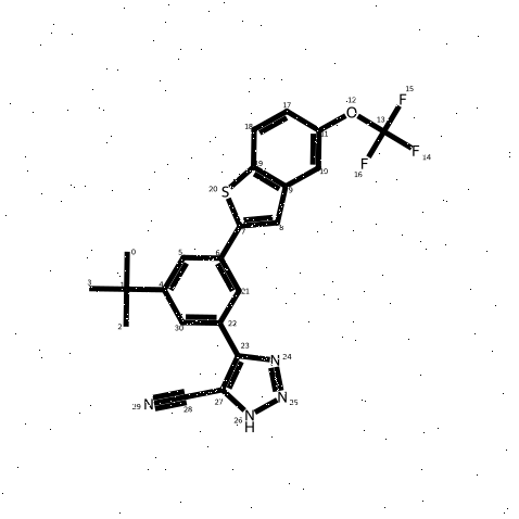 CC(C)(C)c1cc(-c2cc3cc(OC(F)(F)F)ccc3s2)cc(-c2nn[nH]c2C#N)c1